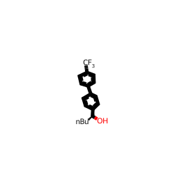 CCCC[C@H](O)c1ccc(-c2ccc(C(F)(F)F)cc2)cc1